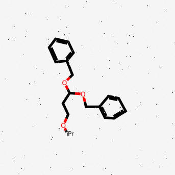 CC(C)OCCC(OCc1ccccc1)OCc1ccccc1